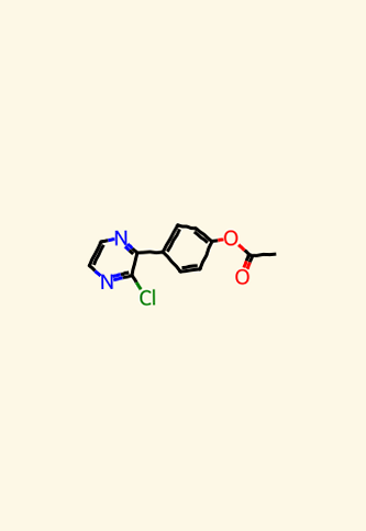 CC(=O)Oc1ccc(-c2nccnc2Cl)cc1